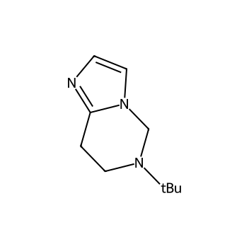 CC(C)(C)N1CCc2nccn2C1